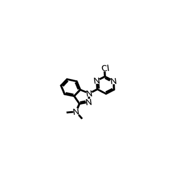 CN(C)c1nn(-c2ccnc(Cl)n2)c2ccccc12